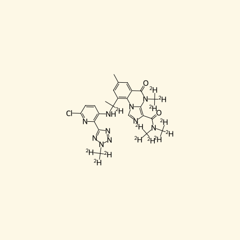 [2H]C(C)(Nc1ccc(Cl)nc1-c1nnn(C([2H])([2H])[2H])n1)c1cc(C)cc2c(=O)n(C([2H])([2H])[2H])c3c(C(=O)N(C([2H])([2H])[2H])C([2H])([2H])[2H])ncn3c12